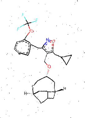 FC(F)(F)Oc1ccccc1-c1noc(C2CC2)c1CO[C@H]1CC[C@@H]2CC3C[C@@H](C1)C3C2